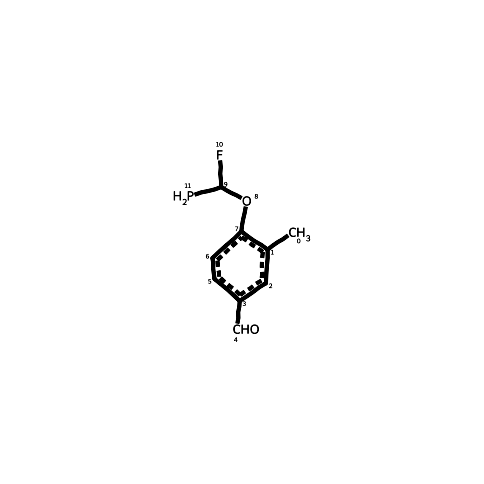 Cc1cc(C=O)ccc1OC(F)P